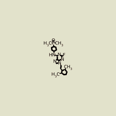 Cc1cccc(C)c1/C=C/n1cnc2c(Nc3ccc(P(C)(C)=O)cc3)nc(F)nc21